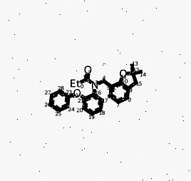 CCC(=O)N(Cc1cccc2c1OC(C)(C)C2)c1ccccc1Oc1ccccc1